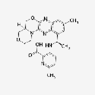 Cc1cc([C@@H](C)Nc2ccc(C)nc2C(=O)O)c2nc3c(nc2c1)OC[C@@H]1COCCN31